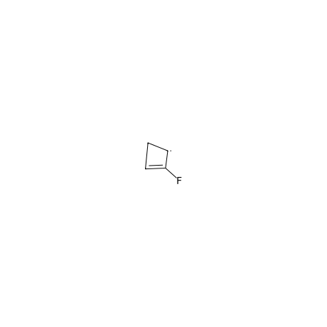 FC1=CC[CH]1